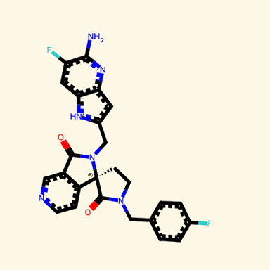 Nc1nc2cc(CN3C(=O)c4cnccc4[C@@]34CCN(Cc3ccc(F)cc3)C4=O)[nH]c2cc1F